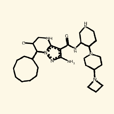 Nc1nn2c(c1C(=O)NC1CNCCC1N1CCC(N3CCC3)CC1)NCC(Cl)C2C1CCCCCCCC1